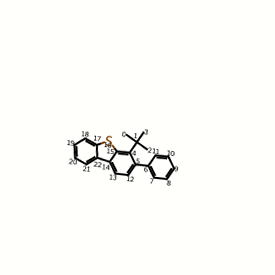 CC(C)(C)c1c(-c2ccccc2)ccc2c1sc1ccccc12